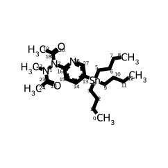 CCC[CH2][Sn]([CH2]CCC)([CH2]CCC)[c]1ccc(N(C(C)=O)N(C)C(C)=O)nc1